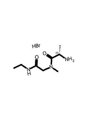 Br.CCNC(=O)CN(C)C(=O)[C@H](C)N